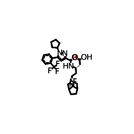 O=C(O)C[C@H](CCN1CC2CCC(C1)C2(F)F)NC(=O)c1cc(-c2ccccc2C(F)(F)F)n(C2CCCC2)n1